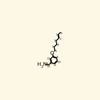 CC=CCCCCOc1cccc(CN)c1